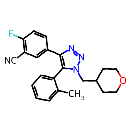 Cc1ccccc1-c1c(-c2ccc(F)c(C#N)c2)nnn1CC1CCOCC1